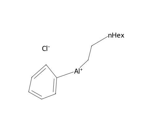 CCCCCCC[CH2][Al+][c]1ccccc1.[Cl-]